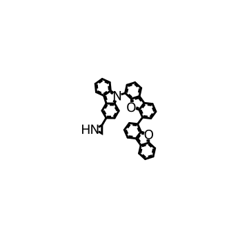 c1ccc2c(c1)oc1c(-c3cccc4c3oc3c(-n5c6ccccc6c6cc(C7CN7)ccc65)cccc34)cccc12